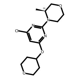 C[C@H]1COCCN1c1nc(Cl)cc(OC2CCOCC2)n1